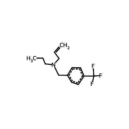 C=CCN(CCC)Cc1ccc(C(F)(F)F)cc1